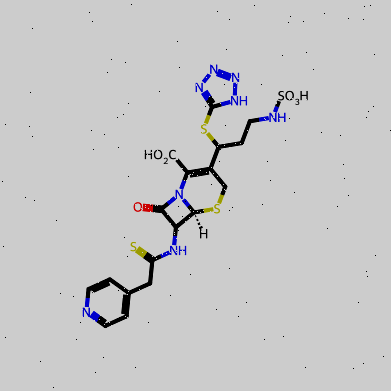 O=C(O)C1=C(C(CCNS(=O)(=O)O)Sc2nnn[nH]2)CS[C@H]2C(NC(=S)Cc3ccncc3)C(=O)N12